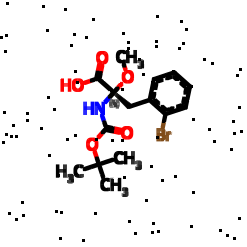 CO[C@](Cc1ccccc1Br)(NC(=O)OC(C)(C)C)C(=O)O